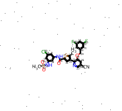 Cc1sc(C(=O)Nc2cc(Cl)cc(NS(C)(=O)=O)c2)cc1-c1ncc(C#N)cc1OCc1cc(F)cc(F)c1